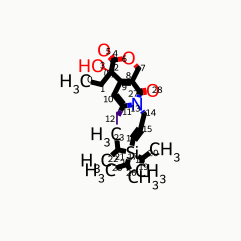 CC[C@@]1(O)C(=O)OCc2c1cc(I)n(CC#C[Si](C(C)C)(C(C)C)C(C)C)c2=O